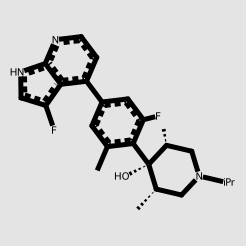 Cc1cc(-c2ccnc3[nH]cc(F)c23)cc(F)c1[C@@]1(O)[C@H](C)CN(C(C)C)C[C@@H]1C